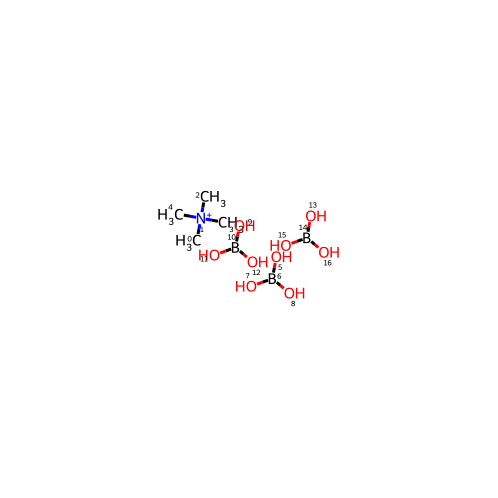 C[N+](C)(C)C.OB(O)O.OB(O)O.OB(O)O